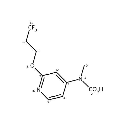 CN(C(=O)O)c1ccnc(OCCC(F)(F)F)c1